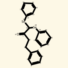 O=C(CCc1ccccc1)C([Se]c1ccccc1)[Se]c1ccccc1